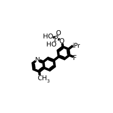 Cc1ccnc2cc(-c3cc(F)c(C(C)C)c(OP(=O)(O)O)c3)ccc12